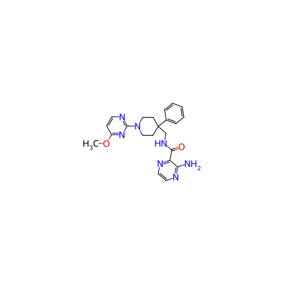 COc1ccnc(N2CCC(CNC(=O)c3nccnc3N)(c3ccccc3)CC2)n1